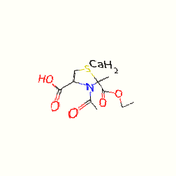 CCOC(=O)C1(C)SCC(C(=O)O)N1C(C)=O.[CaH2]